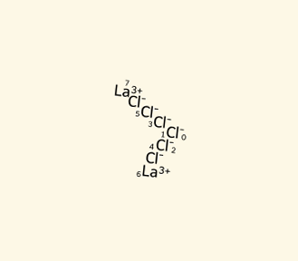 [Cl-].[Cl-].[Cl-].[Cl-].[Cl-].[Cl-].[La+3].[La+3]